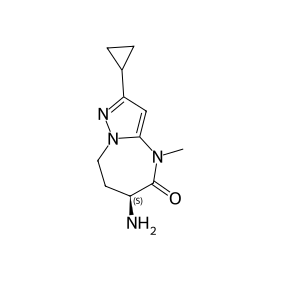 CN1C(=O)[C@@H](N)CCn2nc(C3CC3)cc21